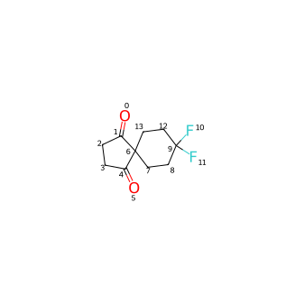 O=C1CCC(=O)C12CCC(F)(F)CC2